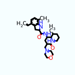 C=Cc1ccc(C)c2c1CC(C(=O)NC(CC(C=O)CN1CCOCC1)C1NCCCC1C)N2